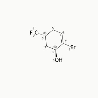 O[C@H]1C[C@H](C(F)(F)F)CC=C1Br